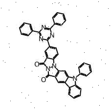 O=c1c2cc(-c3nc(-c4ccccc4)nc(-c4ccccc4)n3)ccc2n2c3cc4c(cc3c(=O)n12)c1ccccc1n4-c1ccccc1